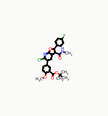 CNC(=O)c1c(-c2ccc(F)cc2)oc2nc(Cl)c(-c3ccc(OC)c(C(=O)OC(C)(C)C)c3)cc12